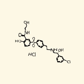 Cl.O=C(NCCO)c1cc(S(=O)(=O)c2ccc(CCNC[C@H](O)c3cccc(Cl)c3)cc2)ccc1O